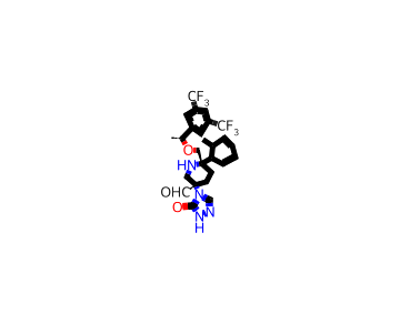 CC1C=CC=CC1[C@]1(CO[C@H](C)c2cc(C(F)(F)F)cc(C(F)(F)F)c2)CC[C@@](C=O)(n2cn[nH]c2=O)CN1